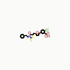 O=C(O)c1cc(-c2ccc(/C=C3\SC(=S)N(CCc4ccccc4)C3=O)o2)ccc1Cl